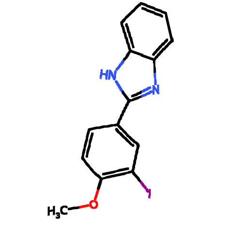 COc1ccc(-c2nc3ccccc3[nH]2)cc1I